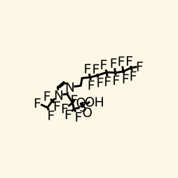 O=S(=O)(O)C(F)(F)C(F)(F)C1N(CCC(F)(F)C(F)(F)C(F)(F)C(F)(F)C(F)(F)C(F)(F)F)C=CN1C(F)(F)C(F)F